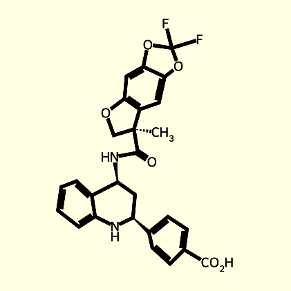 C[C@]1(C(=O)N[C@H]2C[C@@H](c3ccc(C(=O)O)cc3)Nc3ccccc32)COc2cc3c(cc21)OC(F)(F)O3